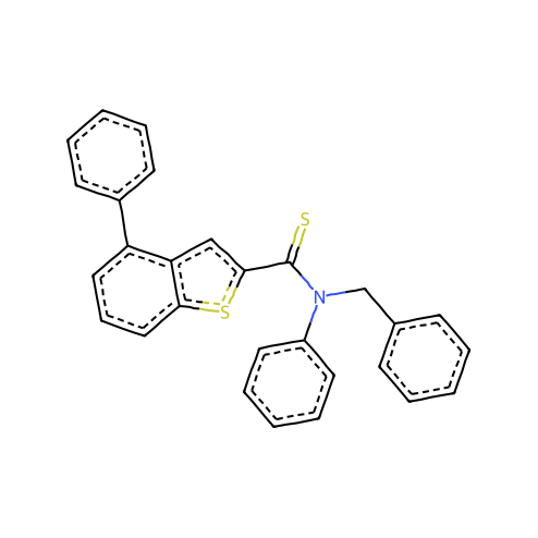 S=C(c1cc2c(-c3ccccc3)cccc2s1)N(Cc1ccccc1)c1ccccc1